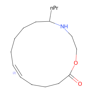 CCCC1CCCC/C=C\CCCC(=O)OCCN1